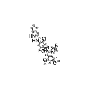 CN[C@@H](CNc1cc(F)c(S(=O)(=O)N(Cc2ccc(OC)cc2OC)c2ncc(F)s2)cc1Cl)CC1CCCC1